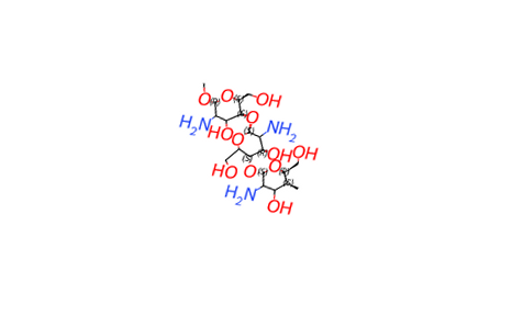 CO[C@@H]1O[C@@H](CO)[C@@H](O[C@@H]2OC(CO)[C@@H](O[C@@H]3O[C@@H](CO)[C@@H](C)C(O)C3N)[C@H](O)C2N)C(O)C1N